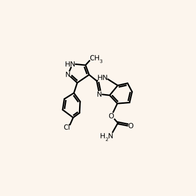 Cc1[nH]nc(-c2ccc(Cl)cc2)c1-c1nc2c(OC(N)=O)cccc2[nH]1